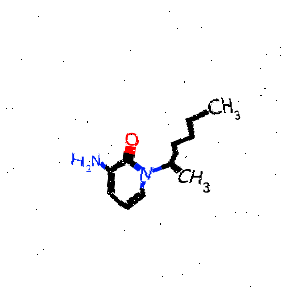 CCCCC(C)n1cccc(N)c1=O